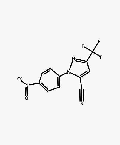 N#Cc1cc(C(F)(F)F)nn1-c1ccc([N+](=O)[O-])cc1